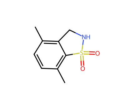 Cc1ccc(C)c2c1CNS2(=O)=O